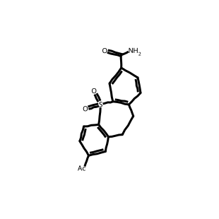 CC(=O)c1ccc2c(c1)CCc1ccc(C(N)=O)cc1S2(=O)=O